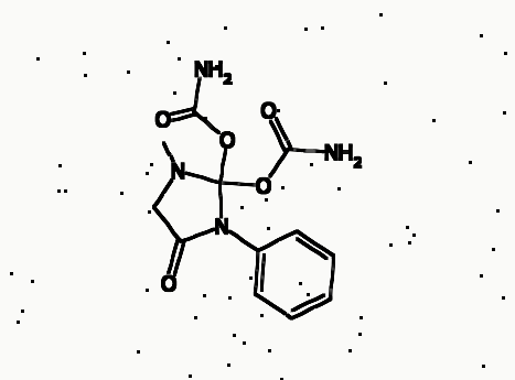 CN1CC(=O)N(c2ccccc2)C1(OC(N)=O)OC(N)=O